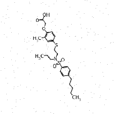 CCCCCc1ccc(S(=O)(=O)N(CCC)CCSc2ccc(OCC(=O)O)c(C)c2)cc1